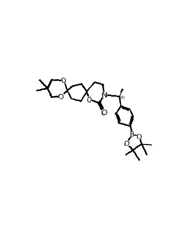 C[C@@H](c1ccc(B2OC(C)(C)C(C)(C)O2)cc1)N1CCC2(CCC3(CC2)OCC(C)(C)CO3)OC1=O